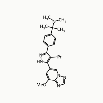 COc1cc(-c2[nH]nc(-c3ccc(C(C)(C)N(C)C)cc3)c2C(C)C)cn2ncnc12